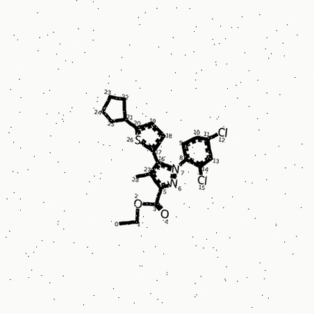 CCOC(=O)c1nn(-c2ccc(Cl)cc2Cl)c(-c2ccc(C3CCCC3)s2)c1C